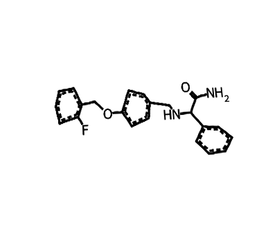 NC(=O)C(NCc1ccc(OCc2ccccc2F)cc1)c1ccccc1